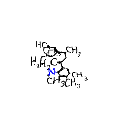 C#C/C=C(\C=C(C)C)C(C)CC(=C)c1cc(C)c(C)cc1/N=C\C